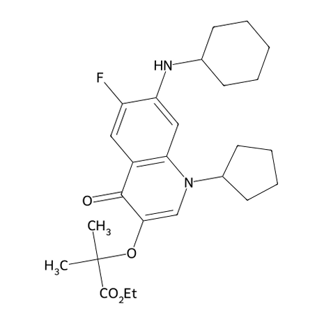 CCOC(=O)C(C)(C)Oc1cn(C2CCCC2)c2cc(NC3CCCCC3)c(F)cc2c1=O